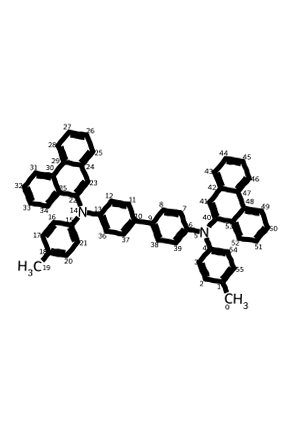 Cc1ccc(N(c2ccc(-c3ccc(N(c4ccc(C)cc4)c4cc5ccccc5c5ccccc45)cc3)cc2)c2cc3ccccc3c3ccccc23)cc1